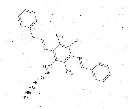 Br.Br.Br.Br.Cc1c(C)c(N=Cc2ccccn2)c(C)c(C)c1N=CCc1ccccn1.[Cu].[Cu]